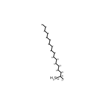 CCCCCCCCCCCCCCCCC(C)[SiH3]